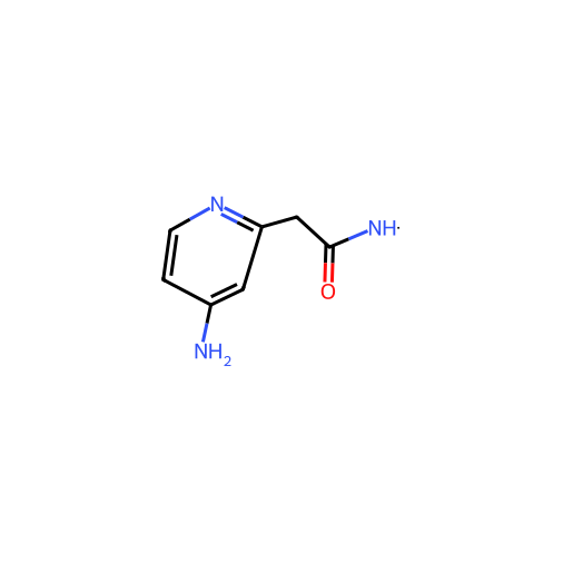 [NH]C(=O)Cc1cc(N)ccn1